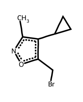 Cc1noc(CBr)c1C1CC1